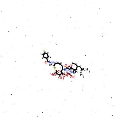 CC(C)C[C@@H]1CCO[C@H]2C(C(=O)N[C@@H]3CC=CC[C@@H](CNC(=O)c4ccc(F)cc4)S[C@H]4O[C@H]3[C@H](O)[C@H](O)[C@H]4O)N(C(=O)O)C[C@@H]2C1